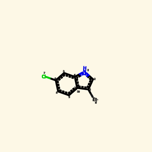 C[CH]c1c[nH]c2cc(Cl)ccc12